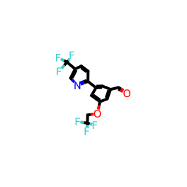 O=Cc1cc(OCC(F)(F)F)cc(-c2ccc(C(F)(F)F)cn2)c1